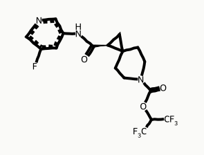 O=C(Nc1cncc(F)c1)[C@H]1CC12CCN(C(=O)OC(C(F)(F)F)C(F)(F)F)CC2